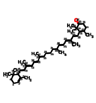 CC1=CCCC(C)(C)C1/C=C/C(C)=C/C=C/C(C)=C/C=C/C=C(C)/C=C/C=C(C)/C=C/C1=C(C)CCC(=O)C1(C)C